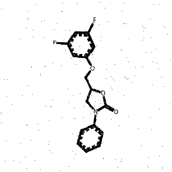 O=C1OC(COc2cc(F)cc(F)c2)CN1c1ccccc1